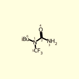 CCC(C)N(C(N)=O)C(F)(F)F